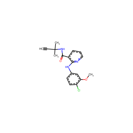 C#CC(C)(C)NC(=O)c1cccnc1Nc1ccc(Cl)c(OC)c1